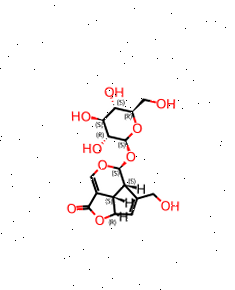 O=C1O[C@H]2C=C(CO)[C@H]3[C@H](O[C@@H]4O[C@H](CO)[C@@H](O)[C@H](O)[C@H]4O)OC=C1[C@H]32